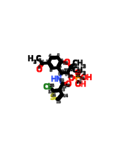 CC(=O)c1ccc2c(c1)[C@H](NC(=O)c1ccsc1Cl)[C@@H](OP(=O)(O)O)C(C)(C)O2